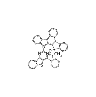 CC1(C)c2ccccc2-c2c1c1c(c3ccccc23)c2ccccc2n1-c1nc(-c2ccccc2)c2sc3ccccc3c2n1